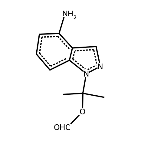 CC(C)(OC=O)n1ncc2c(N)cccc21